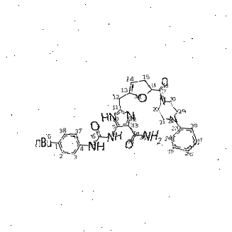 CCCCc1ccc(NC(=O)Nc2[nH]c(CC3=CCC(C(=O)N4CCN(c5ccccc5)CC4)O3)nc2C(N)=O)cc1